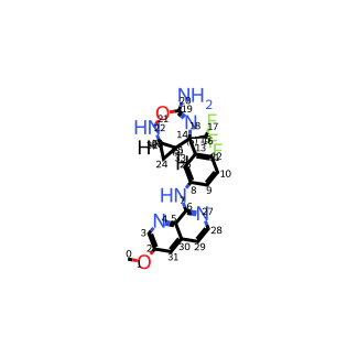 COc1cnc2c(Nc3ccc(F)c([C@@]4(C(F)F)N=C(N)ON[C@@H]5C[C@@H]54)c3)nccc2c1